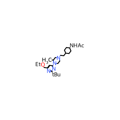 CCOCc1cc(N2CCN(CCC3CCC(NC(C)=O)CC3)CC2C)nc(C(C)(C)C)n1